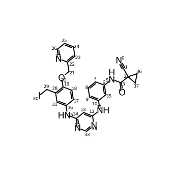 N#CC1(C(=O)Nc2cccc(Nc3cc(Nc4ccc(OCc5ccccn5)c(CI)c4)ncn3)c2)CC1